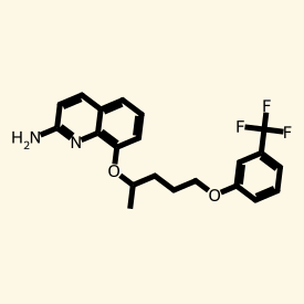 CC(CCCOc1cccc(C(F)(F)F)c1)Oc1cccc2ccc(N)nc12